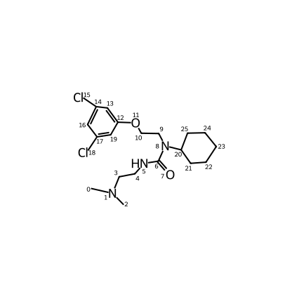 CN(C)CCNC(=O)N(CCOc1cc(Cl)cc(Cl)c1)C1CCCCC1